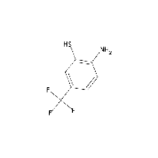 Nc1ccc(C(F)(F)F)cc1S